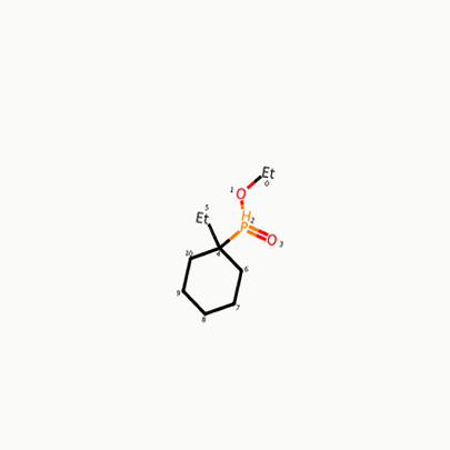 CCO[PH](=O)C1(CC)CCCCC1